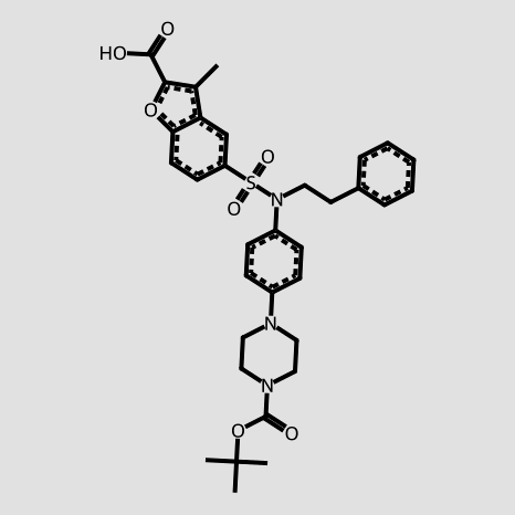 Cc1c(C(=O)O)oc2ccc(S(=O)(=O)N(CCc3ccccc3)c3ccc(N4CCN(C(=O)OC(C)(C)C)CC4)cc3)cc12